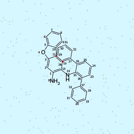 Nc1cc2oc3ccccc3c2cc1Nc1c(-c2ccccc2)cccc1-c1ccccc1